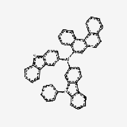 c1ccc(-n2c3ccccc3c3ccc(N(c4ccc5sc6ccccc6c5c4)c4cc5ccc6ccccc6c5c5ccccc45)cc32)cc1